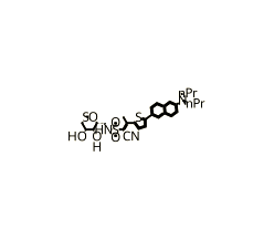 CCCN(CCC)c1ccc2cc(-c3ccc(/C(C)=C(\C#N)S(=O)(=O)NC[C@H]4OSC[C@@H](O)[C@@H]4O)s3)ccc2c1